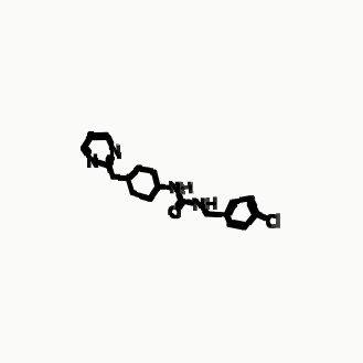 O=C(NCc1ccc(Cl)cc1)NC1CCC(Cc2ncccn2)CC1